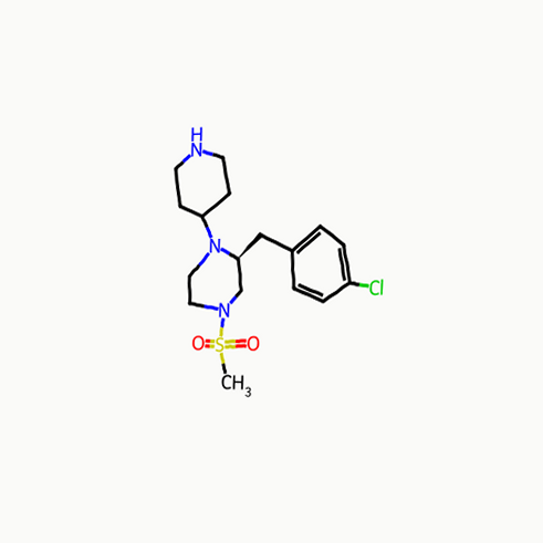 CS(=O)(=O)N1CCN(C2CCNCC2)[C@@H](Cc2ccc(Cl)cc2)C1